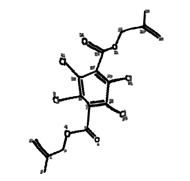 C=C(C)COC(=O)c1c(Cl)c(Cl)c(C(=O)OCC(=C)C)c(Cl)c1Cl